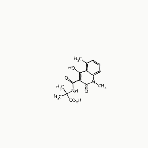 Cc1cccc2c1c(O)c(C(=O)NC(C)(C)C(=O)O)c(=O)n2C